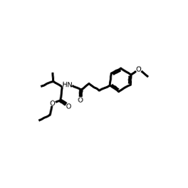 CCOC(=O)C(NC(=O)CCc1ccc(OC)cc1)C(C)C